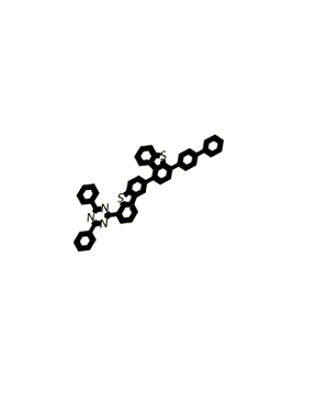 c1ccc(-c2ccc(-c3ccc(-c4ccc5sc6c(-c7nc(-c8ccccc8)nc(-c8ccccc8)n7)cccc6c5c4)c4c3sc3ccccc34)cc2)cc1